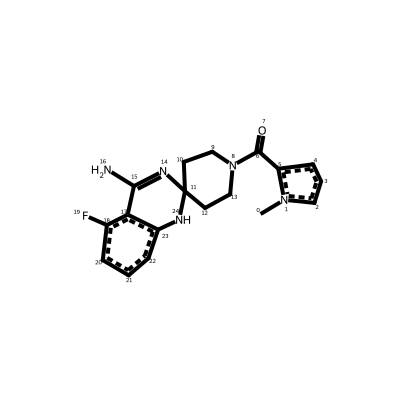 Cn1cccc1C(=O)N1CCC2(CC1)N=C(N)c1c(F)cccc1N2